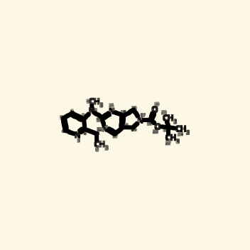 CCc1ncccc1N(C)c1ncc2c(n1)CN(C(=O)OC(C)(C)C)C2